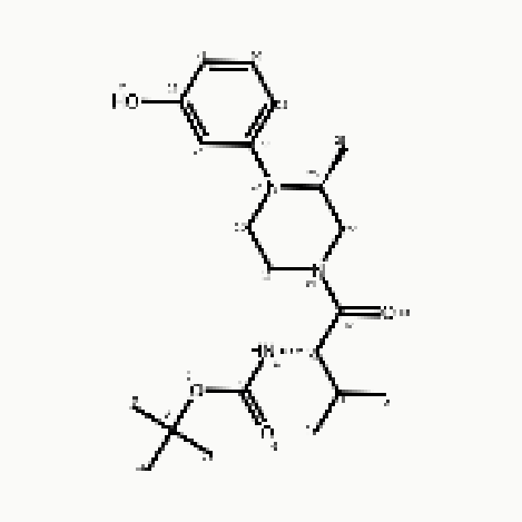 CC(C)[C@H](NC(=O)OC(C)(C)C)C(=O)N1CCN(c2cccc(O)c2)[C@@H](C)C1